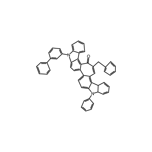 O=c1c(Cc2ccccc2)cc2c3c(ccc2c2ccc4c(c5ccccc5n4-c4cccc(-c5ccccc5)c4)c12)N(c1ccccc1)C1C=CC=CC31